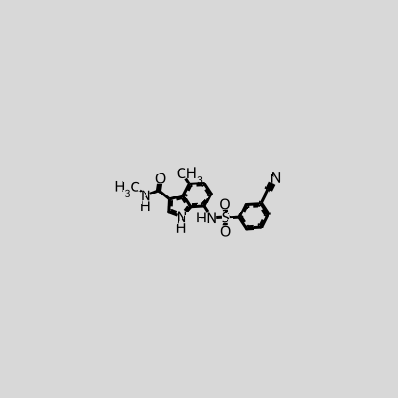 CNC(=O)c1c[nH]c2c(NS(=O)(=O)c3cccc(C#N)c3)ccc(C)c12